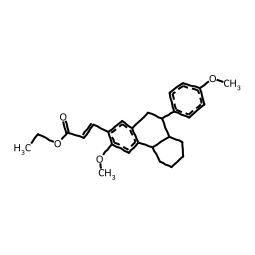 CCOC(=O)/C=C/c1cc2c(cc1OC)C1CCCCC1C(c1ccc(OC)cc1)C2